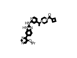 CC(C)Oc1cncnc1-c1ccc2nc(Nc3cc(C(C)N4CCN(C(=O)C5CCC5)CC4)ccn3)[nH]c2c1